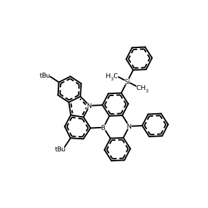 CC(C)(C)c1ccc2c(c1)c1cc(C(C)(C)C)cc3c1n2-c1cc([Si](C)(C)c2ccccc2)cc2c1B3c1ccccc1N2c1ccccc1